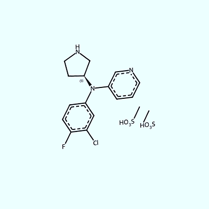 CS(=O)(=O)O.CS(=O)(=O)O.Fc1ccc(N(c2cccnc2)[C@H]2CCNC2)cc1Cl